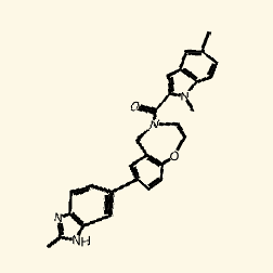 Cc1ccc2c(c1)cc(C(=O)N1CCOc3ccc(-c4ccc5nc(C)[nH]c5c4)cc3C1)n2C